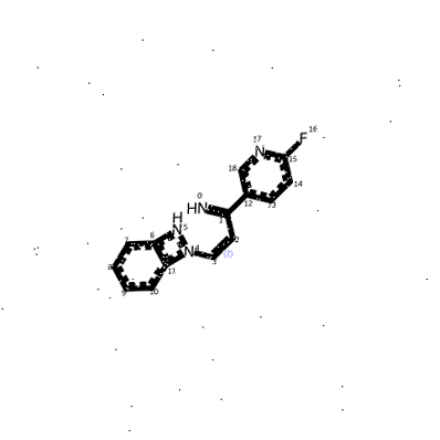 N=C(/C=C\n1[nH]c2ccccc21)c1ccc(F)nc1